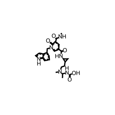 CNC(=O)c1cc(C(=O)NC2CC2CCN(C)C(C)NC(=O)O)cn(Cc2cccc3[nH]ccc23)c1=O